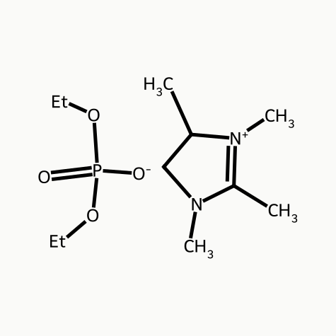 CC1=[N+](C)C(C)CN1C.CCOP(=O)([O-])OCC